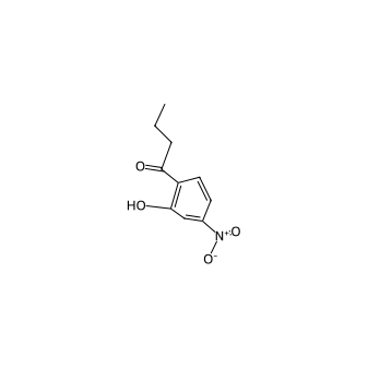 CCCC(=O)c1ccc([N+](=O)[O-])cc1O